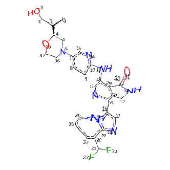 CC(CO)[C@H]1CN(c2ccc(Nc3cnc(-c4cnc5c(C(F)F)cccn45)c4c3C(=O)NC4)nc2)CCO1